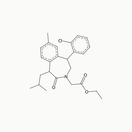 CCOC(=O)CN1CC(c2ccccc2Cl)c2cc(C)ccc2C(CC(C)C)C1=O